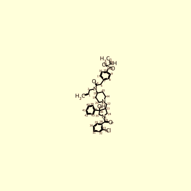 C=CCN(C(=O)Cc1ccc(S(=O)(=O)NC)cc1)C1CCN(CC2CN(C(=O)c3ccccc3Cl)CC2(O)c2ccccc2)CC1